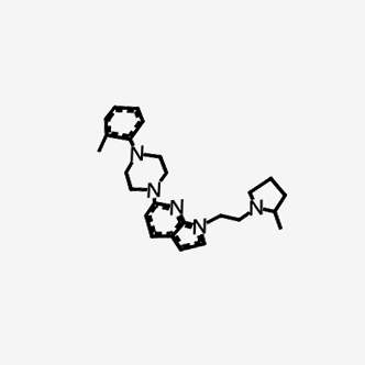 Cc1ccccc1N1CCN(c2ccc3ccn(CCN4CCCC4C)c3n2)CC1